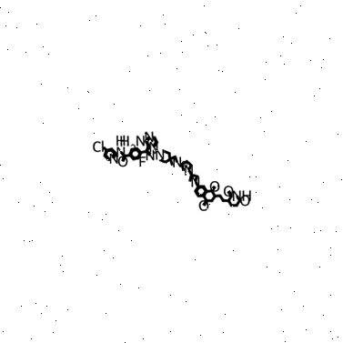 Nc1nccn2c(N3CCC4(CC3)CN([C@H]3CCN(C5CN(c6ccc7c(c6)C(=O)C(CCC6CCC(=O)NC6=O)CC7=O)C5)C3)C4)nc(-c3ccc(C(=O)Nc4cc(Cl)ccn4)cc3F)c12